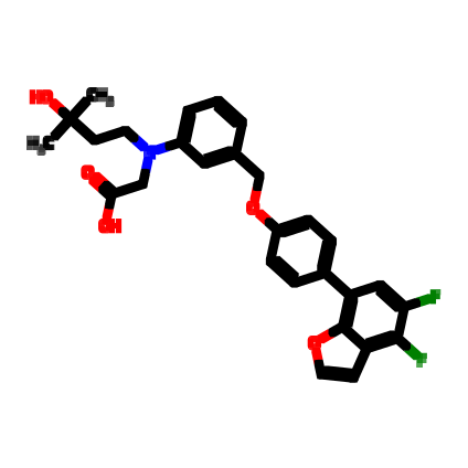 CC(C)(O)CCN(CC(=O)O)c1cccc(COc2ccc(-c3cc(F)c(F)c4ccoc34)cc2)c1